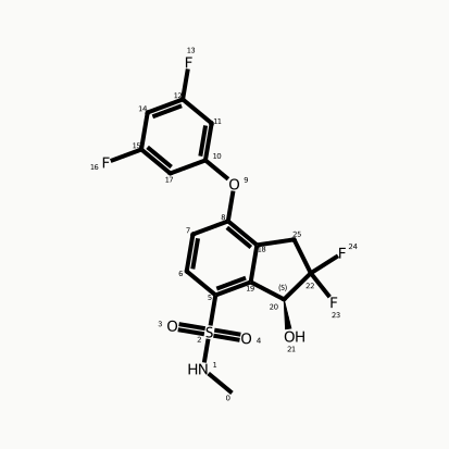 CNS(=O)(=O)c1ccc(Oc2cc(F)cc(F)c2)c2c1[C@H](O)C(F)(F)C2